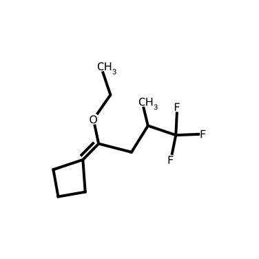 CCOC(CC(C)C(F)(F)F)=C1CCC1